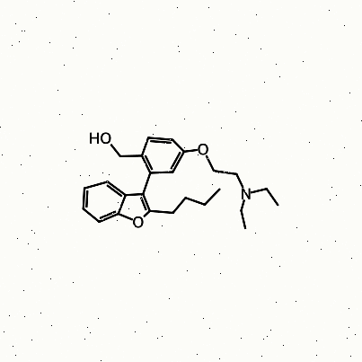 CCCCc1oc2ccccc2c1-c1cc(OCCN(CC)CC)ccc1CO